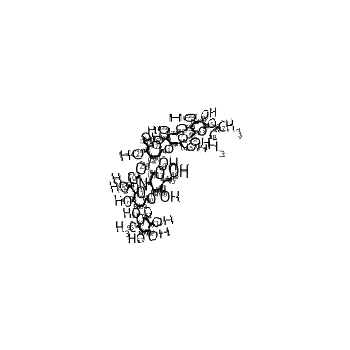 CC(=O)NC1[C@H](C[C@@H]2C(O)[C@@H](O[C@H]3C(CO)O[C@@H](O[C@@H]4C(CO)O[C@@H](OC(C)C)C(O)[C@H]4O)C(O)[C@H]3O)OC(CO)[C@@H]2O)OC(CO)[C@H](O)[C@@H]1O[C@@H]1OC(CO)[C@H](O)[C@H](O)C1O[C@@H]1OC(C)[C@@H](O)[C@H](O)C1O